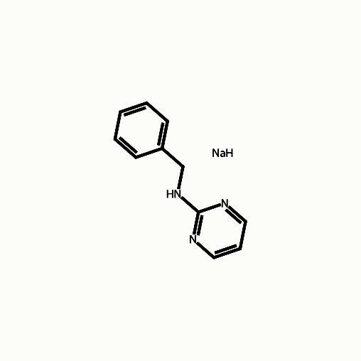 [NaH].c1ccc(CNc2ncccn2)cc1